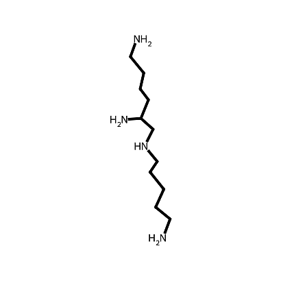 NCCCCCNCC(N)CCCCN